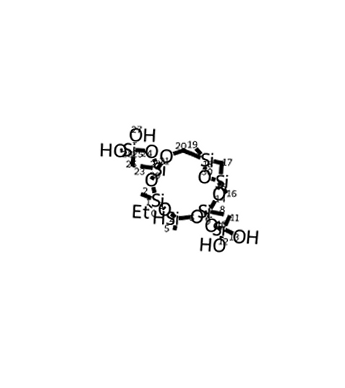 CC[Si]1(C)O[SiH](C)O[Si](C)(O[Si](C)(O)O)O[Si]2(C)C[Si](C)(CO[Si](C)(O[Si](C)(O)O)O1)O2